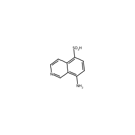 Nc1ccc(S(=O)(=O)O)c2ccncc12